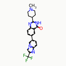 CN1CCC(c2nc3ccc(-c4ccc5nc(C(F)(F)F)cn5c4)cc3c(=O)[nH]2)CC1